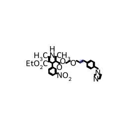 CCOC(=O)C1=C(C)NC(C)=C(C(=O)OCCOC/C=C/c2ccc(Cn3ccnc3)cc2)C1c1cccc([N+](=O)[O-])c1